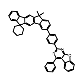 CC1(C)c2ccc(-c3ccc(-c4nc(-c5ccccc5)c5c(n4)oc4ccccc45)cc3)cc2-c2cc3c(cc21)-c1ccccc1C31CCCCC1